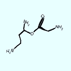 NCCC(N)OC(=O)CN